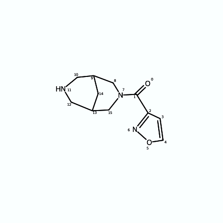 O=C(c1ccon1)N1CC2CNCC(C2)C1